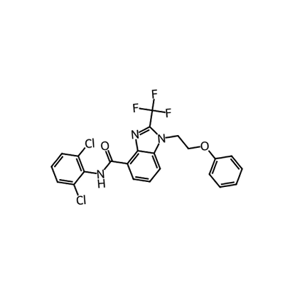 O=C(Nc1c(Cl)cccc1Cl)c1cccc2c1nc(C(F)(F)F)n2CCOc1ccccc1